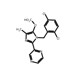 Cc1nc(-c2cnccn2)n(Cc2cc(Cl)ccc2Cl)c1OC(=O)O